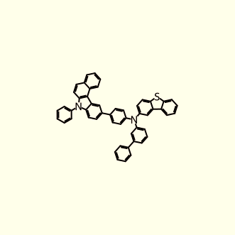 c1ccc(-c2cccc(N(c3ccc(-c4ccc5c(c4)c4c6ccccc6ccc4n5-c4ccccc4)cc3)c3ccc4sc5ccccc5c4c3)c2)cc1